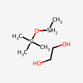 C[SiH2]O[Si](C)(C)C.OCCO